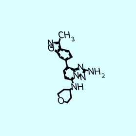 Cc1noc2cc(-c3ccc(NC4CCOCC4)n4nc(N)nc34)ccc12